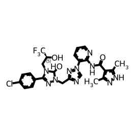 Cc1n[nH]c(C)c1C(=O)Nc1ncccc1-n1cnc(CN2N=C(c3ccc(Cl)cc3)N(C[C@H](O)C(F)(F)F)C2O)n1